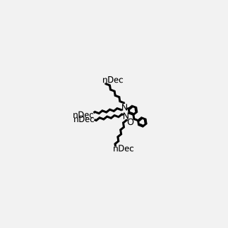 CCCCCCCCCCCCCCCCCCN(CCCCCCCCCCCCCCCCCC)c1cccc(C(=O)c2ccccc2)c1N(CCCCCCCCCCCCCCCCCC)CCCCCCCCCCCCCCCCCC